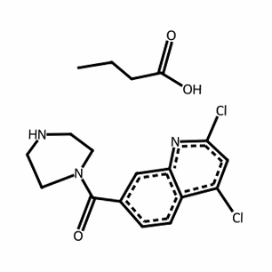 CCCC(=O)O.O=C(c1ccc2c(Cl)cc(Cl)nc2c1)N1CCNCC1